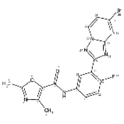 Cc1nc(C)c(C(=O)Nc2ccc(F)c(-c3nc4nc(Br)ccn4n3)c2)o1